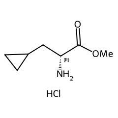 COC(=O)[C@H](N)CC1CC1.Cl